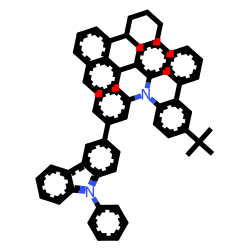 CC(C)(C)c1ccc(N(c2cccc(-c3ccc4c(c3)c3ccccc3n4-c3ccccc3)c2)c2ccccc2-c2cccc3cccc(C4CCCCC4)c23)c(-c2ccccc2)c1